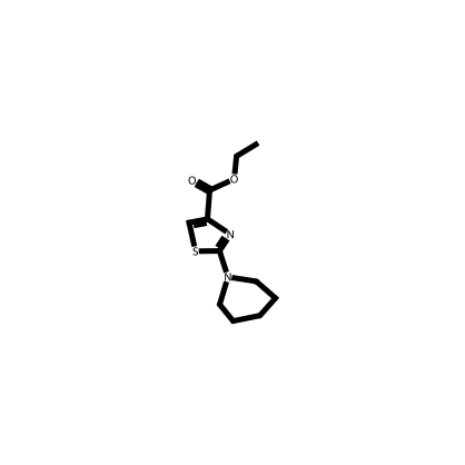 CCOC(=O)c1csc(N2CCCCC2)n1